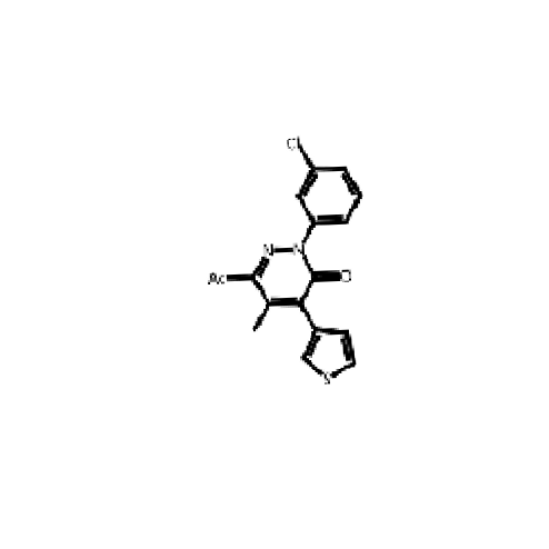 CC(=O)c1nn(-c2cccc(Cl)c2)c(=O)c(-c2ccsc2)c1C